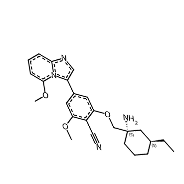 CC[C@H]1CCC[C@@](N)(COc2cc(-c3cnc4cccc(OC)n34)cc(OC)c2C#N)C1